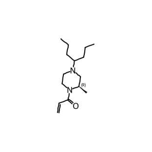 C=CC(=O)N1CCN(C(CCC)CCC)C[C@H]1C